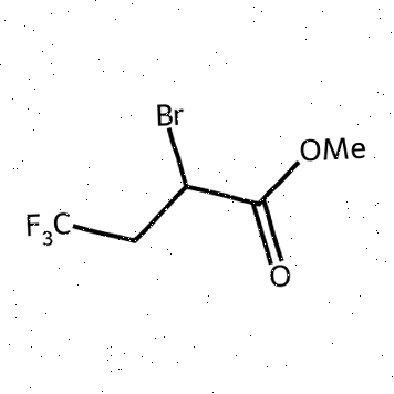 COC(=O)C(Br)CC(F)(F)F